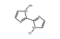 CCC[SH]1C=CN=C1C1=NC=C[SH]1CC